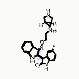 O=C1Nc2ccc(F)cc2/C1=C1/Nc2ccccc2/C1=N\OCCN[C@H]1[C@@H]2CNC[C@@H]21